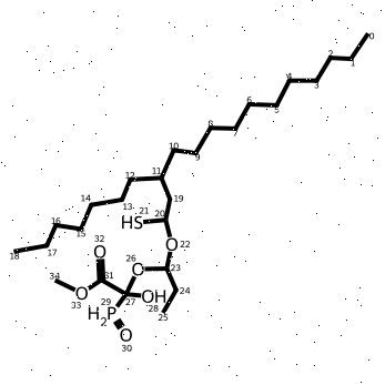 CCCCCCCCCCCC(CCCCCCC)CC(S)OC(CC)OC(O)([PH2]=O)C(=O)OC